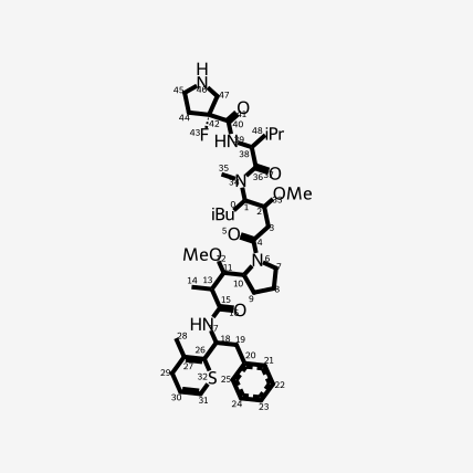 CCC(C)C(C(CC(=O)N1CCCC1C(OC)C(C)C(=O)NC(Cc1ccccc1)C1=C(C)CC=CS1)OC)N(C)C(=O)C(NC(=O)[C@@]1(F)CCNC1)C(C)C